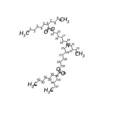 CCCCCCC(CCCC)C(=O)OCCCCCCN(CCCC)CCCCCCOC(=O)C(CCCC)CCCCCC